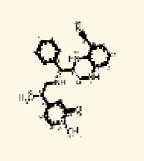 C[C@@H](CN[C@H](c1ccccc1)[C@H]1CNc2cccc(C#N)c2N1)c1ccn(C)c(=O)c1